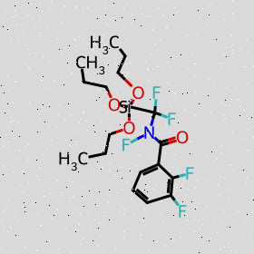 CCCO[Si](OCCC)(OCCC)C(F)(F)N(F)C(=O)c1cccc(F)c1F